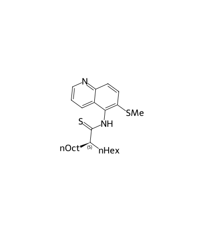 CCCCCCCC[C@H](CCCCCC)C(=S)Nc1c(SC)ccc2ncccc12